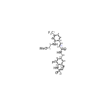 COCCNc1nc(C(F)(F)F)ccc1/C=C/C(=O)NCc1cc(F)c(NS(C)(=O)=O)c(F)c1